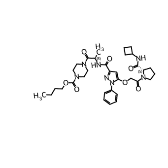 CCCCOC(=O)N1CCN(C(=O)[C@@H](C)NC(=O)c2cc(OCC(=O)N3CCC[C@H]3C(=O)NC3CCC3)n(-c3ccccc3)n2)CC1